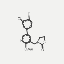 COc1ncc(-c2ccc(F)c(Cl)c2)cc1CN1CCOC1=O